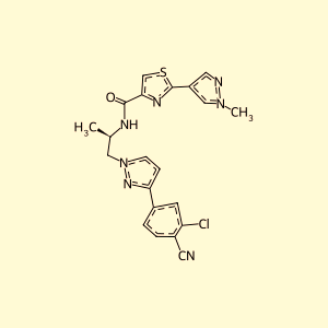 C[C@H](Cn1ccc(-c2ccc(C#N)c(Cl)c2)n1)NC(=O)c1csc(-c2cnn(C)c2)n1